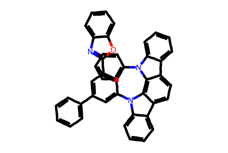 c1ccc(-c2cc(-c3nc4ccccc4o3)cc(-n3c4ccccc4c4ccc5c6ccccc6n(-c6ccccc6)c5c43)c2)cc1